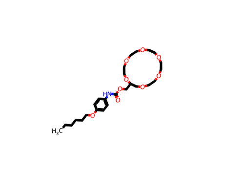 CCCCCCOc1ccc(NC(=O)OCC2COCCOCCOCCOCCOCCO2)cc1